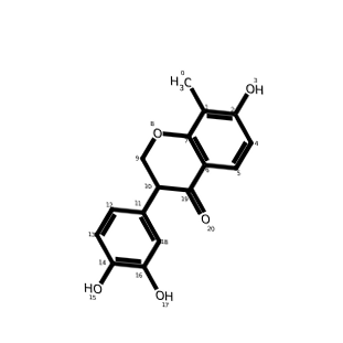 Cc1c(O)ccc2c1OCC(c1ccc(O)c(O)c1)C2=O